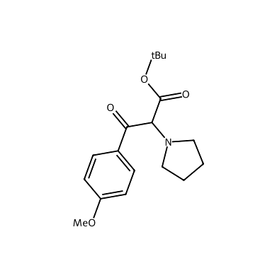 COc1ccc(C(=O)C(C(=O)OC(C)(C)C)N2CCCC2)cc1